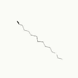 CCOCCCCCCCCCCC=O